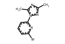 Cc1nc(C)n(-c2cccc(Br)n2)n1